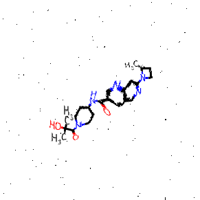 C[C@H]1CCN1c1cc2ncc(C(=O)NC3CCN(C(=O)C(C)(C)O)CC3)cc2cn1